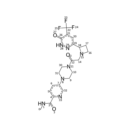 CNC(=O)c1ccc(N2CCN(C(=O)CN3CCC3c3cc(C(F)(F)F)c(=O)[nH]n3)CC2)cn1